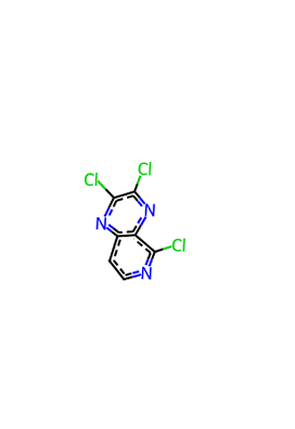 Clc1nc2ccnc(Cl)c2nc1Cl